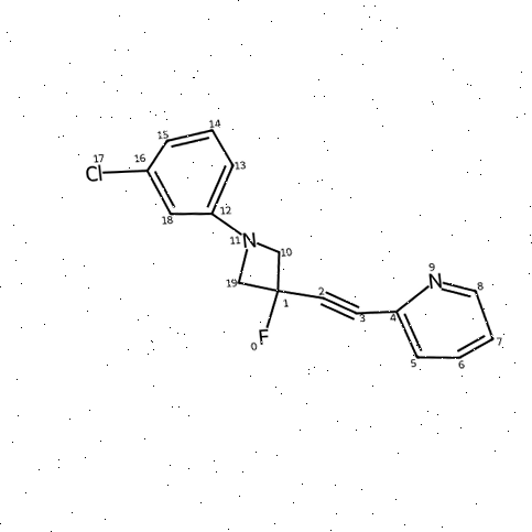 FC1(C#Cc2ccccn2)CN(c2cccc(Cl)c2)C1